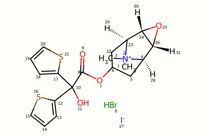 Br.C[N+]1(C)[C@@H]2CC(OC(=O)C(O)(c3cccs3)c3cccs3)C[C@H]1[C@@H]1O[C@@H]12.[I-]